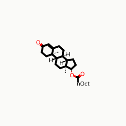 CCCCCCCCC(=O)O[C@H]1CC[C@H]2[C@@H]3CCC4=CC(=O)CC[C@]4(C)[C@H]3CC[C@]12C